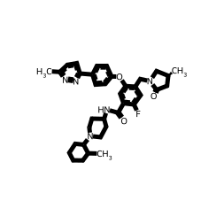 Cc1ccc(-c2ccc(Oc3cc(C(=O)NC4CCN(C5CCCCC5C)CC4)c(F)cc3CN3C[C@@H](C)CC3=O)cc2)nn1